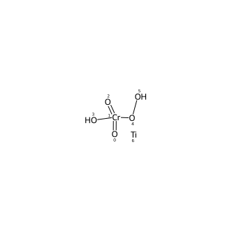 [O]=[Cr](=[O])([OH])[O]O.[Ti]